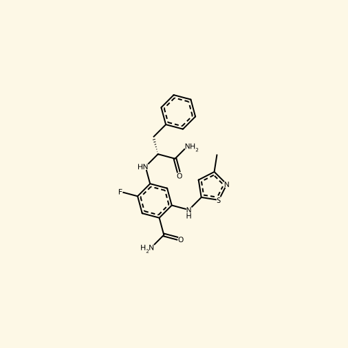 Cc1cc(Nc2cc(N[C@H](Cc3ccccc3)C(N)=O)c(F)cc2C(N)=O)sn1